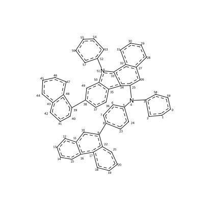 c1ccc(N(c2ccc(-c3cc4ccccc4c4ccccc34)cc2)c2cc3ccccc3c3c2c2ccc(-c4cccc5ccccc45)cc2n3-c2ccccc2)cc1